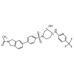 CC(=O)N1Cc2ccc(-c3ccc(S(=O)(=O)N4CC[C@@H](Nc5ccc(C(F)(F)F)cn5)[C@@H](O)C4)cc3)cc2C1